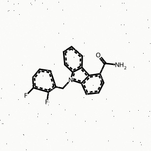 NC(=O)c1cccc2c1c1[c]cccc1n2Cc1cccc(F)c1F